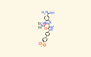 CCN(CC)C(=O)Oc1c(-c2ccc(-c3ccc(S(C)(=O)=O)cc3)cc2)nn(C)c1-c1nc2cc(C(=N)N)ccc2[nH]1